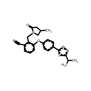 CC1CC(=O)N(Cc2c(C#N)cccc2Oc2ccc(-c3nnc(C(C)C)s3)cc2)C1